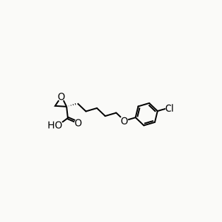 O=C(O)[C@@]1(CCCCCOc2ccc(Cl)cc2)CO1